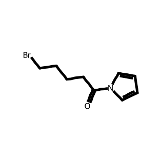 O=C(CCCCBr)n1cccc1